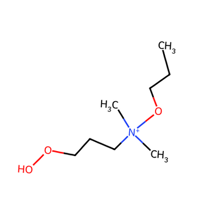 CCCO[N+](C)(C)CCCOO